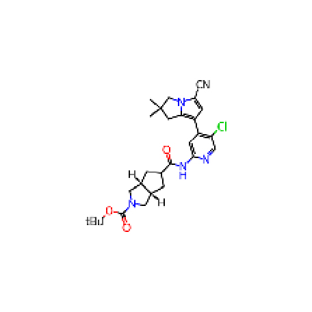 CC1(C)Cc2c(-c3cc(NC(=O)C4C[C@@H]5CN(C(=O)OC(C)(C)C)C[C@@H]5C4)ncc3Cl)cc(C#N)n2C1